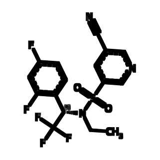 CCN([C@@H](c1ccc(F)cc1F)C(F)(F)F)S(=O)(=O)c1cncc(C#N)c1